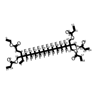 C=COC(=O)CCC(C=C)(COC(=O)C=C)C(F)(F)C(F)(F)C(F)(F)C(F)(F)C(F)(F)C(F)(F)C(F)(F)C(F)(F)C(F)(F)C(F)(F)C(COC(=O)C=C)(COC(=O)C=C)COC(=O)C=C